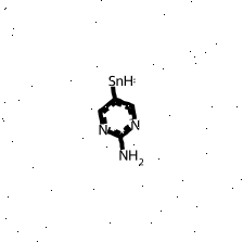 Nc1nc[c]([SnH])cn1